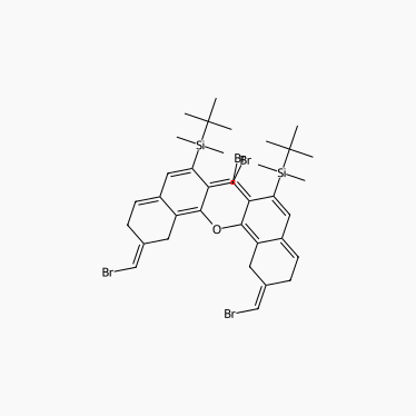 CC(C)(C)[Si](C)(C)c1cc2c(c(Oc3c4c(cc([Si](C)(C)C(C)(C)C)c3=CBr)=CCC(=CBr)C4)c1=CBr)CC(=CBr)CC=2